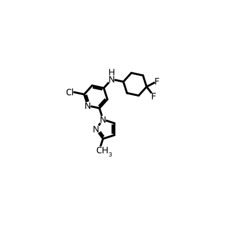 Cc1ccn(-c2cc(NC3CCC(F)(F)CC3)cc(Cl)n2)n1